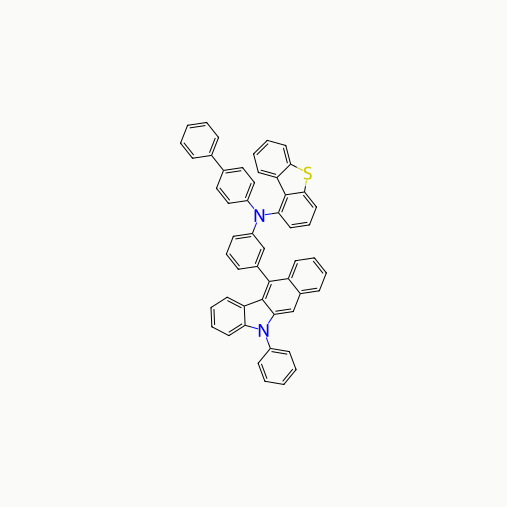 c1ccc(-c2ccc(N(c3cccc(-c4c5ccccc5cc5c4c4ccccc4n5-c4ccccc4)c3)c3cccc4sc5ccccc5c34)cc2)cc1